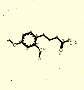 COc1ccc(CCCC(N)=O)c(OC)c1